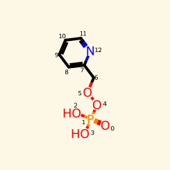 O=P(O)(O)OOCc1ccccn1